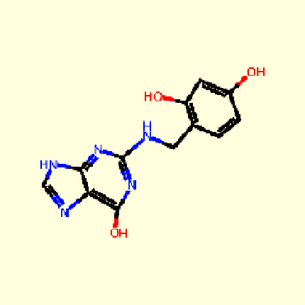 Oc1ccc(CNc2nc(O)c3nc[nH]c3n2)c(O)c1